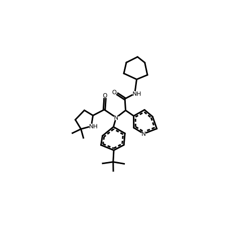 CC1(C)CCC(C(=O)N(c2ccc(C(C)(C)C)cc2)C(C(=O)NC2CCCCC2)c2cccnc2)N1